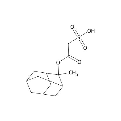 CC1(OC(=O)CS(=O)(=O)O)C2CC3CC(C2)CC1C3